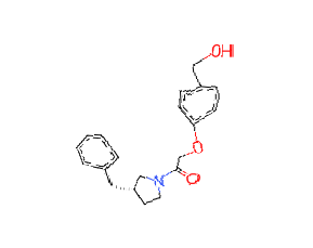 O=C(COc1ccc(CO)cc1)N1CC[C@H](Cc2ccccc2)C1